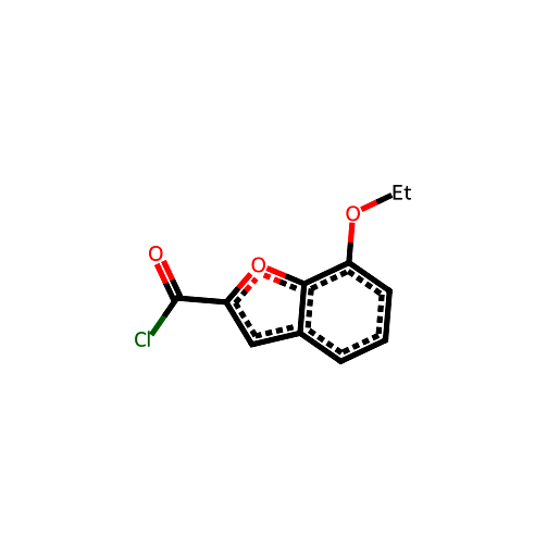 CCOc1cccc2cc(C(=O)Cl)oc12